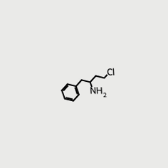 NC(CCCl)Cc1ccccc1